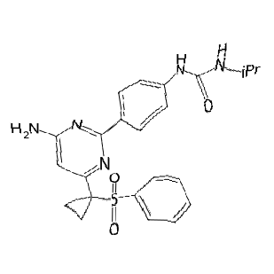 CC(C)NC(=O)Nc1ccc(-c2nc(N)cc(C3(S(=O)(=O)c4ccccc4)CC3)n2)cc1